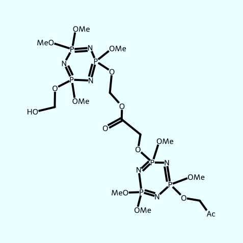 COP1(OC)=NP(OC)(OCOC(=O)COP2(OC)=NP(OC)(OC)=NP(OC)(OCC(C)=O)=N2)=NP(OC)(OCO)=N1